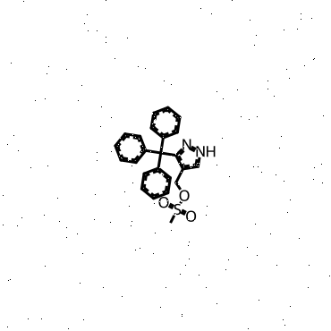 CS(=O)(=O)OCc1c[nH]nc1C(c1ccccc1)(c1ccccc1)c1ccccc1